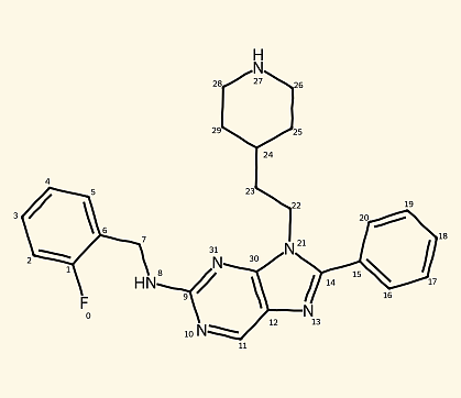 Fc1ccccc1CNc1ncc2nc(-c3ccccc3)n(CCC3CCNCC3)c2n1